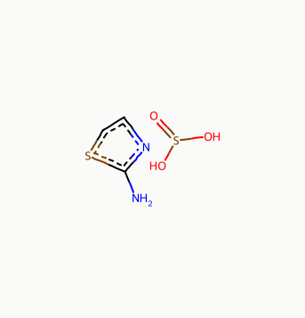 Nc1nccs1.O=S(O)O